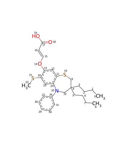 CCCCC1(CCCC)CSc2cc(O/C=C/C(=O)O)c(SC)cc2N(c2ccccc2)C1